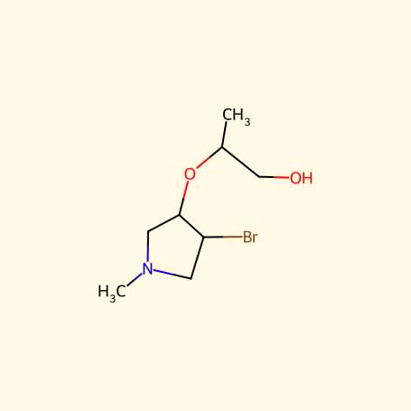 CC(CO)OC1CN(C)CC1Br